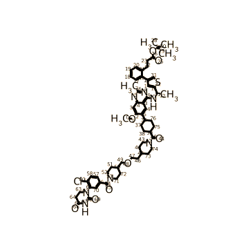 COc1cc2nc(C)nc(N[C@H](C)c3cc(-c4ccccc4CCC(=O)OC(C)(C)C)cs3)c2cc1C1CCC(C(=O)N2CCC(CCOCC3CCN(C(=O)c4ccc(Cl)c(N5CCC(=O)NC5=O)c4)CC3)CC2)CC1